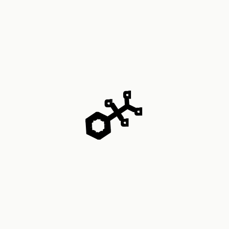 ClC(Cl)C(Cl)(Cl)c1ccccc1